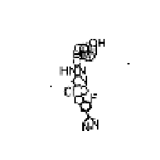 O[C@@H]1CO[C@H]2[C@@H]1OC[C@H]2Oc1nc2nc(OC3CCc4cc(-c5cncnc5)cc(F)c43)c(Cl)cc2[nH]1